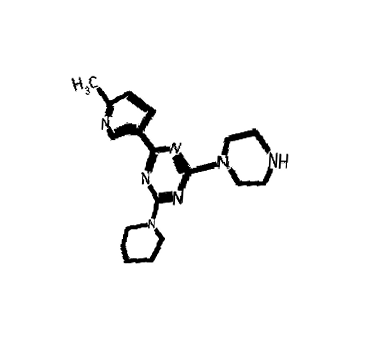 Cc1ccc(-c2nc(N3CCCCC3)nc(N3CCNCC3)n2)cn1